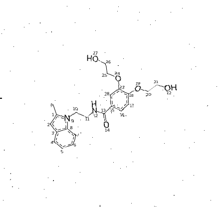 Cc1cc2ccccc2n1CCNC(=O)c1ccc(OCCO)c(OCCO)c1